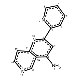 Nc1cc(-c2ccccn2)nc2ccncc12